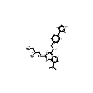 CC(C)c1cnn2c(NCc3ccc(-c4ccsc4)cc3)nc(NC[C@@H](O)CO)nc12